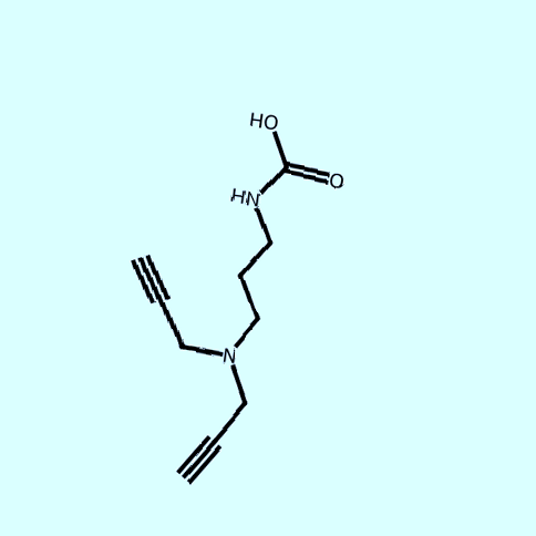 C#CCN(CC#C)CCCNC(=O)O